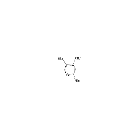 [CH2]c1cc(C(C)(C)C)ccc1C(C)(C)C